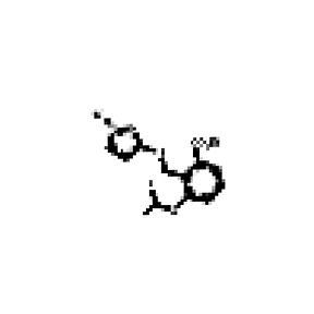 CCOC(=O)c1cccc(SC(F)F)c1COc1ccn(O)n1